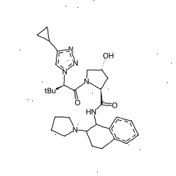 CC(C)(C)[C@H](C(=O)N1C[C@H](O)C[C@H]1C(=O)NC1c2ccccc2CCC1N1CCCC1)n1cc(C2CC2)nn1